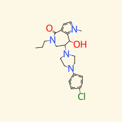 CCCN1CC(N2CCN(c3ccc(Cl)cc3)CC2)C(O)c2c(ccn2C)C1=O